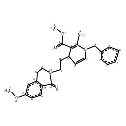 COC(=O)C1=C(C)N(Cc2ccccc2)C=CC1CCN1CCc2cc(OC)ccc2C1=O